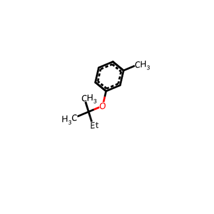 CCC(C)(C)Oc1cccc(C)c1